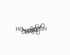 O=S(=O)(c1ccc(OC[C@H](O)CO)cc1)c1cc(Cl)c(OC[C@H](O)CCl)c(Cl)c1